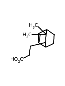 CC1(C)C2C=CC(CC2)C1CCC(=O)O